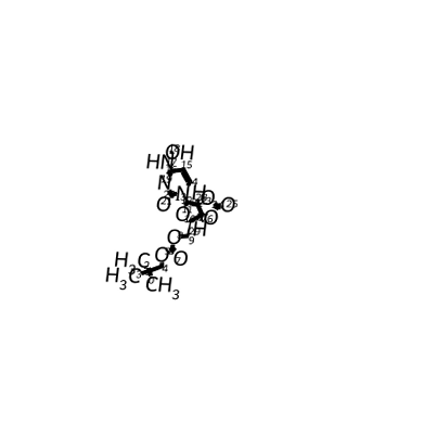 CC(C)(C)COC(=O)OC[C@H]1O[C@@H](n2ccc(NO)nc2=O)[C@@H]2OC(=O)O[C@@H]21